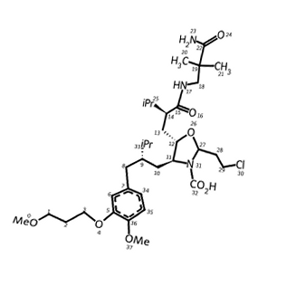 COCCCOc1cc(C[C@@H](C[C@H]2[C@H](C[C@H](C(=O)NCC(C)(C)C(N)=O)C(C)C)OC(CCCl)N2C(=O)O)C(C)C)ccc1OC